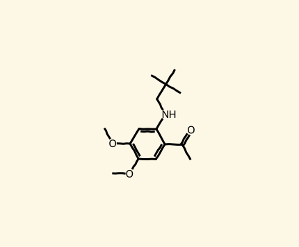 COc1cc(NCC(C)(C)C)c(C(C)=O)cc1OC